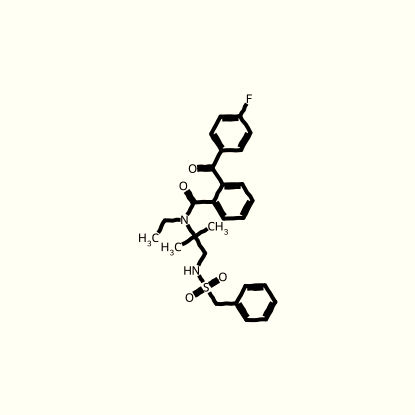 CCN(C(=O)c1ccccc1C(=O)c1ccc(F)cc1)C(C)(C)CNS(=O)(=O)Cc1ccccc1